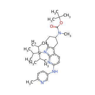 Cc1ccc(Nc2ccc3c4c(n([Si](C(C)C)(C(C)C)C(C)C)c3n2)CCC(N(C)C(=O)OC(C)(C)C)C4)cn1